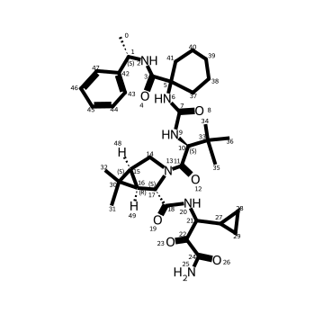 C[C@H](NC(=O)C1(NC(=O)N[C@H](C(=O)N2C[C@H]3[C@@H]([C@H]2C(=O)NC(C(=O)C(N)=O)C2CC2)C3(C)C)C(C)(C)C)CCCCC1)c1ccccc1